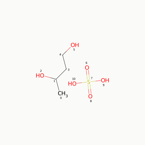 CC(O)CCO.O=S(=O)(O)O